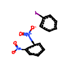 Ic1ccccc1.O=[N+]([O-])c1ccccc1[N+](=O)[O-]